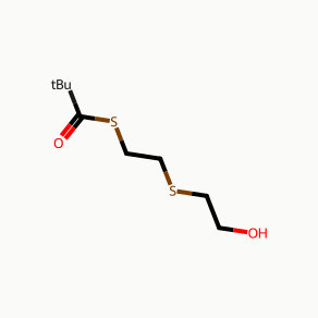 CC(C)(C)C(=O)SCCSCCO